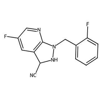 N#CC1NN(Cc2ccccc2F)c2ncc(F)cc21